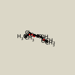 CN(C)CCC(=O)OCC(O)COc1ccc(-c2ccc(OCC(CCl)OC(=O)CCN(C)C)cc2)cc1